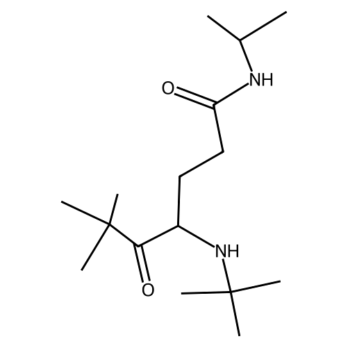 CC(C)NC(=O)CCC(NC(C)(C)C)C(=O)C(C)(C)C